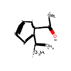 C=C(C(=O)O)c1ccccc1C(=O)OC